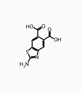 Nc1nc2cc(C(=O)O)c(C(=O)O)cc2s1